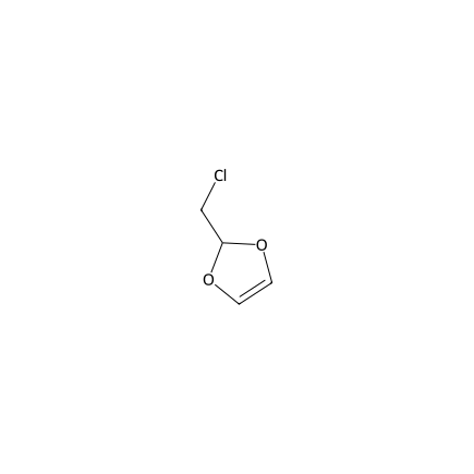 ClCC1OC=CO1